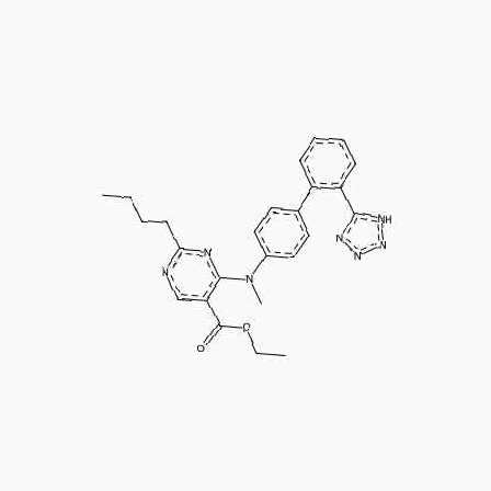 CCCCc1ncc(C(=O)OCC)c(N(C)c2ccc(-c3ccccc3-c3nnn[nH]3)cc2)n1